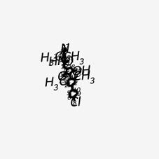 Cc1cc(-c2ccc(Cl)cc2)cc(C)c1C1C(=O)C(CC(=O)NC(C)(C)C#N)CC1O